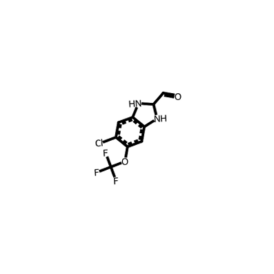 O=CC1Nc2cc(Cl)c(OC(F)(F)F)cc2N1